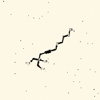 CC[N+](C)(CC)CC#CCOCCOC